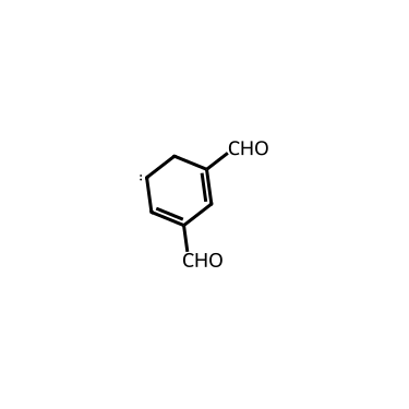 O=CC1=C[C]CC(C=O)=C1